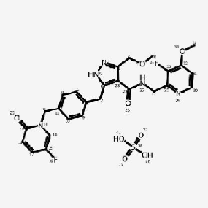 COCc1n[nH]c(Cc2ccc(Cn3cc(F)ccc3=O)cc2)c1C(=O)NCc1nccc(OC)c1F.O=S(=O)(O)O